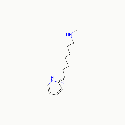 CNCCCCCC/C=C1/C=CC=CN1